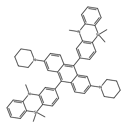 CN1c2ccccc2[Si](C)(C)c2ccc(-c3c4ccc(N5CCCCC5)cc4c(-c4ccc5c(c4)N(C)c4ccccc4[Si]5(C)C)c4ccc(N5CCCCC5)cc34)cc21